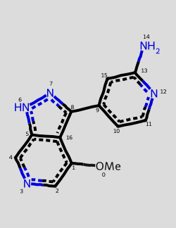 COc1cncc2[nH]nc(-c3ccnc(N)c3)c12